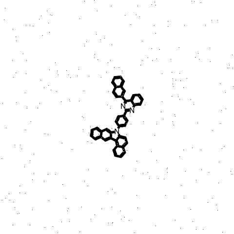 c1ccc2cc(-c3nc(-c4ccc(-n5c6cc7ccccc7cc6c6c7ccccc7ccc65)cc4)nc4ccccc34)ccc2c1